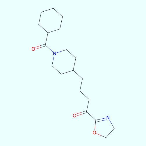 O=C(CCCC1CCN(C(=O)C2CCCCC2)CC1)C1=NCCO1